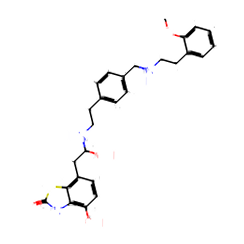 COc1ccccc1CCNCc1ccc(CCNC(O)Cc2ccc(O)c3[nH]c(=O)sc23)cc1